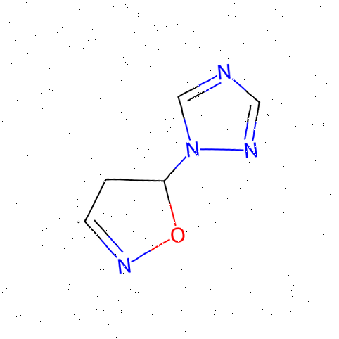 [C]1=NOC(n2cncn2)C1